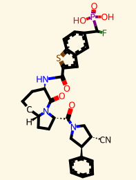 N#C[C@H]1CN(C(=O)[C@@H]2CC[C@@H]3CCC[C@H](NC(=O)c4cc5cc(C(F)P(=O)(O)O)ccc5s4)C(=O)N32)C[C@@H]1c1ccccc1